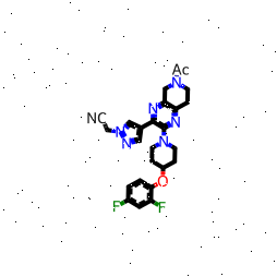 CC(=O)N1CCc2nc(N3CCC(Oc4ccc(F)cc4F)CC3)c(-c3cnn(CC#N)c3)nc2C1